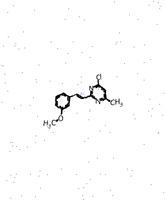 COc1cccc(/C=C/c2nc(C)cc(Cl)n2)c1